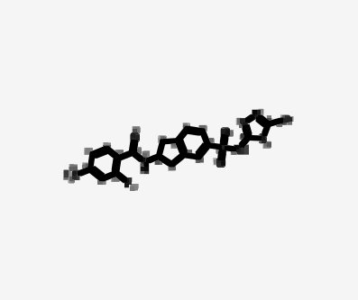 CC(C)c1nnc(NS(=O)(=O)c2ccc3c(c2)CC(NC(=O)c2ccc(C(F)(F)F)cc2F)C3)s1